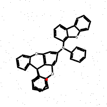 c1ccc(N(c2cc3c4c(c2)Oc2ccccc2C4(c2ccccc2)c2ccccc2O3)c2cccc3c2sc2ccccc23)cc1